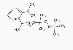 CC(C)(C)OOC(C)(C)C.CC(C)c1ccccc1C(C)C